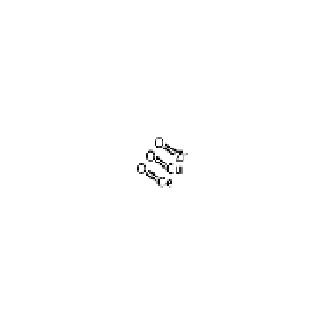 [O]=[Ce].[O]=[Cu].[O]=[Zr]